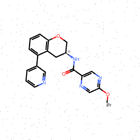 CC(C)Oc1cnc(C(=O)N[C@@H]2COc3cccc(-c4cccnc4)c3C2)cn1